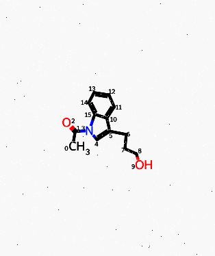 CC(=O)n1cc(CCCO)c2ccccc21